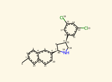 Cc1ccc2cc([C@H]3C[C@@H](c4cc(Cl)cc(Cl)c4)CN3)ccc2c1